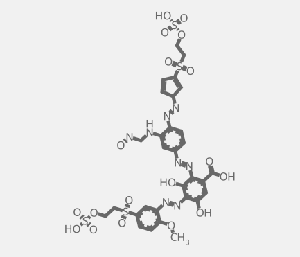 COc1ccc(S(=O)(=O)CCOS(=O)(=O)O)cc1N=Nc1c(O)cc(C(=O)O)c(N=Nc2ccc(N=NC3C=CC(S(=O)(=O)CCOS(=O)(=O)O)=C3)c(NCN=O)c2)c1O